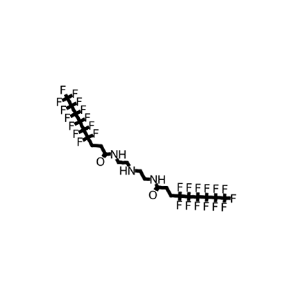 O=C(CCC(F)(F)C(F)(F)C(F)(F)C(F)(F)C(F)(F)C(F)(F)F)NCCNCCNC(=O)CCC(F)(F)C(F)(F)C(F)(F)C(F)(F)C(F)(F)C(F)(F)F